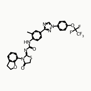 Cc1cc(-c2ncn(-c3ccc(OC(F)(F)C(F)(F)F)cc3)n2)ccc1NC(=O)/N=C1\SCC(=O)N1c1cccc2c1OCC2